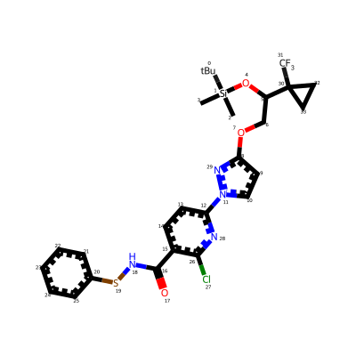 CC(C)(C)[Si](C)(C)OC(COc1ccn(-c2ccc(C(=O)NSc3ccccc3)c(Cl)n2)n1)C1(C(F)(F)F)CC1